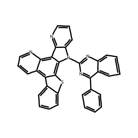 c1ccc(-c2nc(-n3c4cccnc4c4c5ncccc5c5c6ccccc6sc5c43)nc3ccccc23)cc1